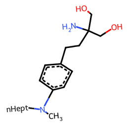 CCCCCCCN(C)c1ccc(CCC(N)(CO)CO)cc1